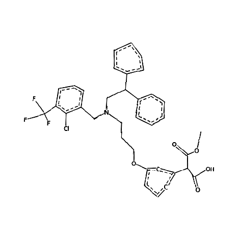 COC(=O)C(C(=O)O)c1cccc(OCCCN(Cc2cccc(C(F)(F)F)c2Cl)CC(c2ccccc2)c2ccccc2)c1